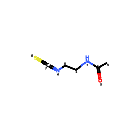 CC(=O)NCCN=C=S